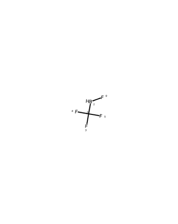 FBC(F)(F)F